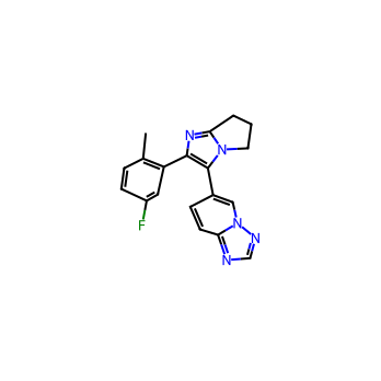 Cc1ccc(F)cc1-c1nc2n(c1-c1ccc3ncnn3c1)CCC2